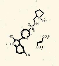 CCN1CCCC1CNS(=O)(=O)c1ccc(-c2c(O)[nH]c3ccc(C#N)cc23)nc1.O=C(O)C=CC(=O)O